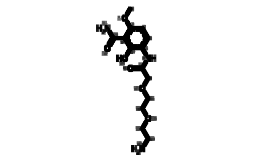 COc1ccc(NC(=O)COCCOCCN)c(O)c1C(N)=O